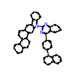 c1ccc2c(-c3ccc(-c4nc(-n5c6ccccc6c6cc7ccc8c9ccccc9ccc8c7cc65)nc5ccccc45)cc3)cccc2c1